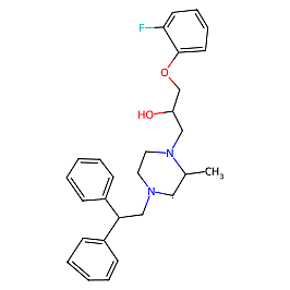 CC1[CH]N(CC(c2ccccc2)c2ccccc2)CCN1CC(O)COc1ccccc1F